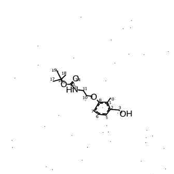 Cc1c(CO)cccc1OCCNC(=O)OC(C)(C)C